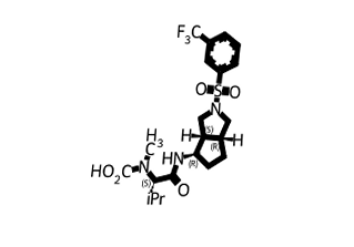 CC(C)[C@@H](C(=O)N[C@@H]1CC[C@H]2CN(S(=O)(=O)c3cccc(C(F)(F)F)c3)C[C@H]21)N(C)C(=O)O